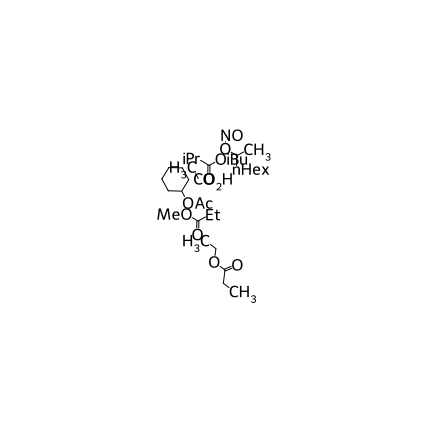 CC(=O)O.CC(=O)OC1CCCCC1.CC(C)COC(=O)C(C)C.CCC(=O)OC.CCCCCCC(C)ON=O.CCOC(=O)CC